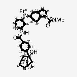 CCN(c1ccnc(NC(=O)c2ccc(CN3C4CC[C@@H]3C[C@@H](O)C4)cc2)c1)c1ccc2c(ccn2C(=O)NC)c1